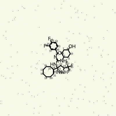 O=C(/N=C(\NC1CCC(O)CC1)NC1(C2CCCCCCC2)CC(C(F)(F)F)NN1)c1ccc(F)c(F)c1